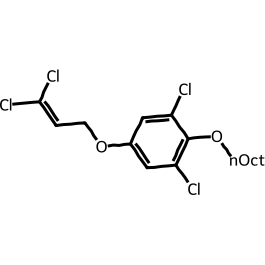 CCCCCCCCOc1c(Cl)cc(OCC=C(Cl)Cl)cc1Cl